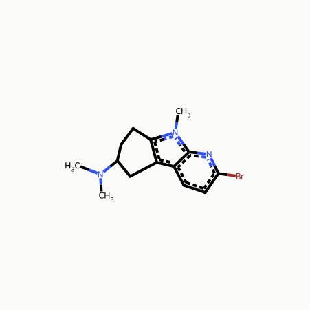 CN(C)C1CCc2c(c3ccc(Br)nc3n2C)C1